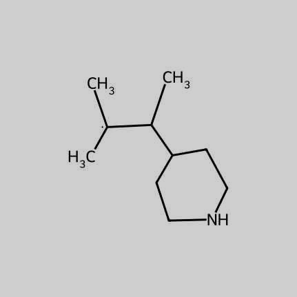 C[C](C)C(C)C1CCNCC1